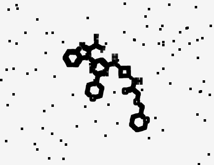 O=C(COCC1CCCCO1)N[C@H]1C[C@H](Nc2cc(-n3c(C(F)F)nc4ccccc43)nc(N3CCOCC3)n2)C1